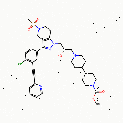 CC(C)(C)OC(=O)N1CCC(C2CCN(C[C@H](O)Cn3nc(-c4ccc(Cl)c(C#Cc5ccccn5)c4)c4c3CCN(S(C)(=O)=O)C4)CC2)CC1